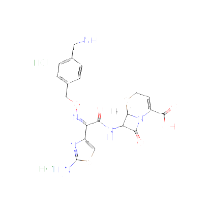 Cl.Cl.NCc1ccc(CO/N=C(\C(=O)NC2C(=O)N3C(C(=O)O)=CCS[C@H]23)c2csc(N)n2)cc1